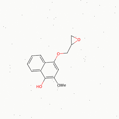 COc1cc(OCC2CO2)c2ccccc2c1O